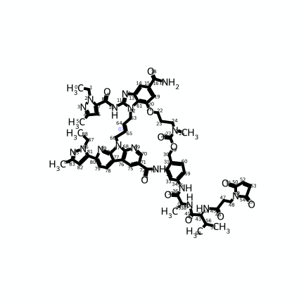 CCn1nc(C)cc1C(=O)Nc1nc2cc(C(N)=O)cc(OCCCN(C)C(=O)OCc3ccc(NC(=O)[C@H](C)NC(=O)[C@@H](NC(=O)CCN4C(=O)C=CC4=O)C(C)C)cc3)c2n1C/C=C/Cn1c2ncc(C(N)=O)cc2c2ccc(-c3cc(C)nn3CC)nc21